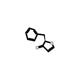 O=C1C=CO[C@@H]1Cc1ccccc1